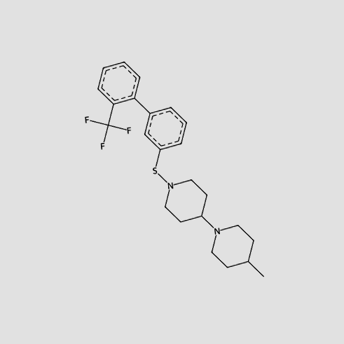 CC1CCN(C2CCN(Sc3cccc(-c4ccccc4C(F)(F)F)c3)CC2)CC1